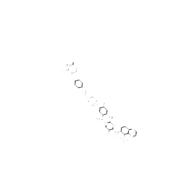 COc1cc(N2CCN(CCc3ccc(OC4CCC(=O)NC4O)cc3)CC2)c(C)cc1Nc1ncc(Br)c(Nc2ccc3nccnc3c2P(C)(C)=O)n1